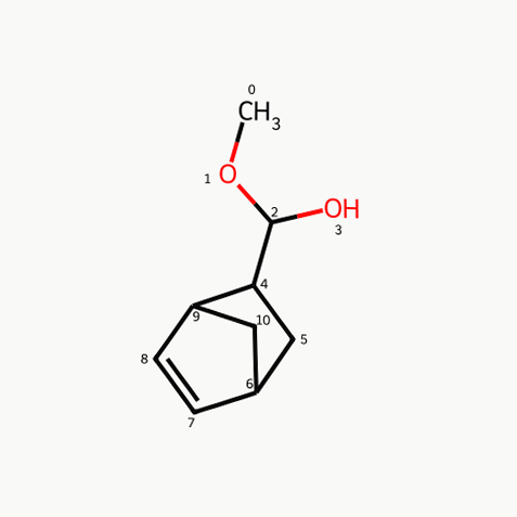 COC(O)C1CC2C=CC1C2